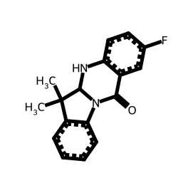 CC1(C)c2ccccc2N2C(=O)c3cc(F)ccc3NC21